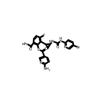 CCCC(=O)c1ccc(F)c(C2CC2NC(=O)Nc2ccc(Br)cn2)c1OC(=O)c1ccc(N)nc1